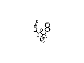 CC(CN=C=S)NC(=O)c1c(-c2ccc3ccccc3c2)nc2sccn12